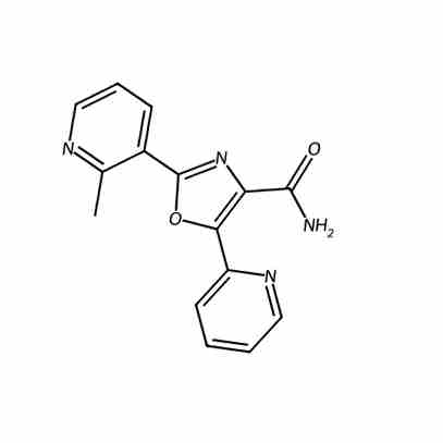 Cc1ncccc1-c1nc(C(N)=O)c(-c2ccccn2)o1